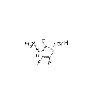 Br.NNc1c(F)c(F)cc(F)c1F